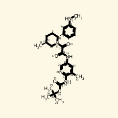 CNc1cccc([C@H]2CC[C@H](C)CN2C(=O)C(=O)Nc2cnc(NC(=O)OC(C)(C)C)c(C)c2)c1